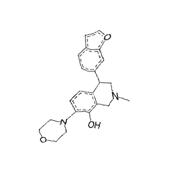 CN1Cc2c(ccc(N3CCOCC3)c2O)C(c2ccc3ccoc3c2)C1